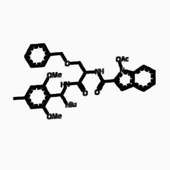 CCCCC(NC(=O)C(COCc1ccccc1)NC(=O)c1cc2ccccc2n1OC(C)=O)c1c(OC)cc(C)cc1OC